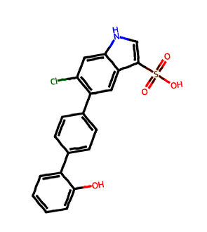 O=S(=O)(O)c1c[nH]c2cc(Cl)c(-c3ccc(-c4ccccc4O)cc3)cc12